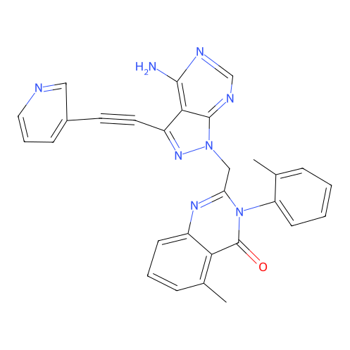 Cc1ccccc1-n1c(Cn2nc(C#Cc3cccnc3)c3c(N)ncnc32)nc2cccc(C)c2c1=O